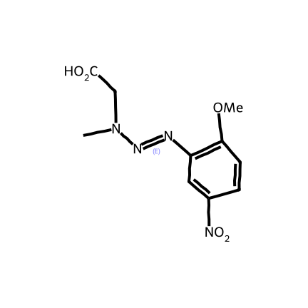 COc1ccc([N+](=O)[O-])cc1/N=N/N(C)CC(=O)O